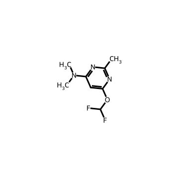 Cc1nc(OC(F)F)cc(N(C)C)n1